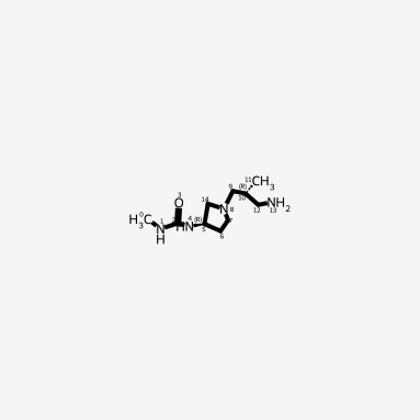 CNC(=O)N[C@@H]1CCN(C[C@H](C)CN)C1